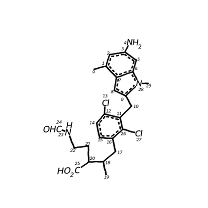 Cc1cc(N)cc2c1cc(Cc1c(Cl)ccc(CC(C)C(CCNC=O)C(=O)O)c1Cl)n2C